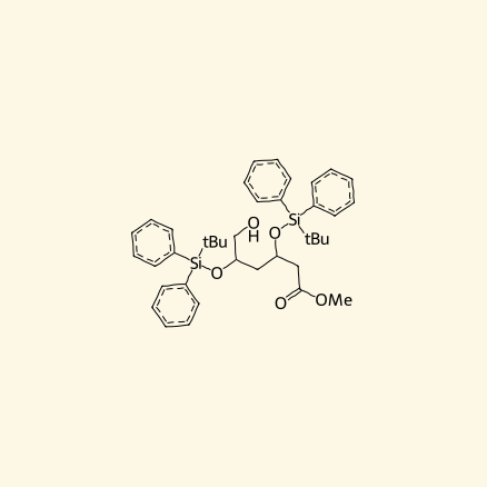 COC(=O)CC(CC(CO)O[Si](c1ccccc1)(c1ccccc1)C(C)(C)C)O[Si](c1ccccc1)(c1ccccc1)C(C)(C)C